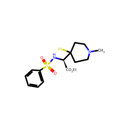 CCOC(=O)[C@@H](NS(=O)(=O)c1ccccc1)C1(S)CCN(C)CC1